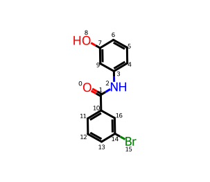 O=C(Nc1cccc(O)c1)c1cccc(Br)c1